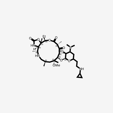 CC[C@H]1OC(=O)[C@H](C)C(=O)[C@H](C)[C@@H](O[C@@H]2OC(CCNC3CC3)CC(N(C)C)C2O)[C@](C)(OC)C[C@@H](C)CN[C@H](C)[C@H]2NC(=O)O[C@@]21C